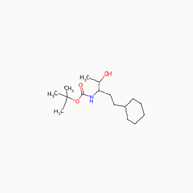 CC(O)C(CCC1CCCCC1)NC(=O)OC(C)(C)C